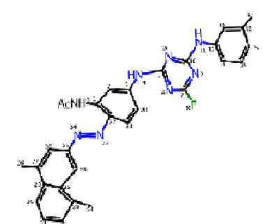 CC(=O)Nc1cc(Nc2nc(F)nc(Nc3cccc(C)c3)n2)ccc1N=Nc1cc(C)c2cccc(C)c2c1